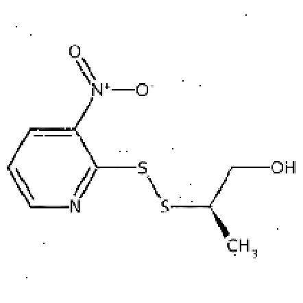 C[C@H](CO)SSc1ncccc1[N+](=O)[O-]